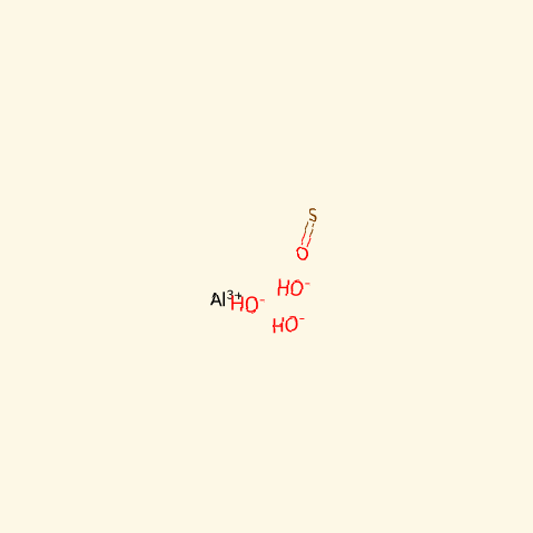 O=S.[Al+3].[OH-].[OH-].[OH-]